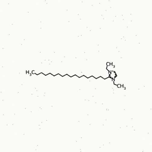 CCCCCCCCCCCCCCCCCCc1n(CC)cc[n+]1CC